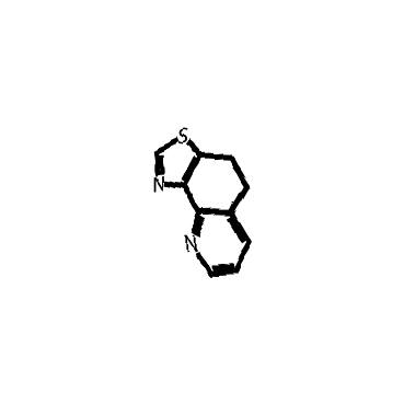 c1cnc2c(c1)CCc1scnc1-2